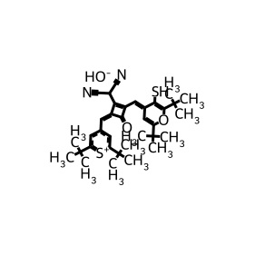 CC(C)(C)C1=CC(=CC2=C(C(C#N)C#N)C(=Cc3cc(C(C)(C)C)[s+]c(C(C)(C)C)c3)C2=O)C(S)=C(C(C)(C)C)O1.[OH-]